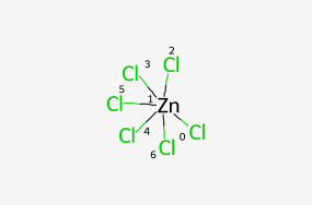 [Cl][Zn]([Cl])([Cl])([Cl])([Cl])[Cl]